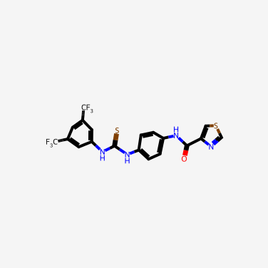 O=C(Nc1ccc(NC(=S)Nc2cc(C(F)(F)F)cc(C(F)(F)F)c2)cc1)c1cscn1